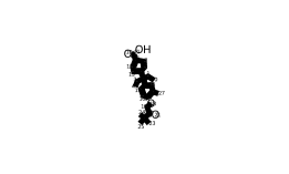 CCC(CC)(c1ccc(C(=O)O)cc1)c1ccc(OCC(=O)C(C)(C)C)c(C)c1